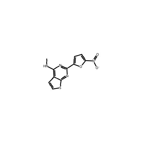 CNc1nc(-c2ccc([N+](=O)[O-])o2)nc2sccc12